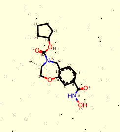 C[C@H]1COc2cc(C(=O)NO)ccc2CN1C(=O)OC1CCCC1